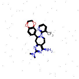 CN(C)c1nc(N)c2c(n1)CC(c1ccc3c(c1)OCCO3)N(c1ncccc1C(F)(F)F)CC2